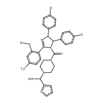 CCOc1cc(C(F)(F)F)ccc1C1=NC(c2ccc(Cl)cc2)C(c2ccc(Cl)cc2)N1C(=O)N1CCN(C(C=O)c2cccs2)CC1